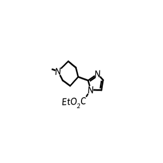 CCOC(=O)n1ccnc1C1CCN(C)CC1